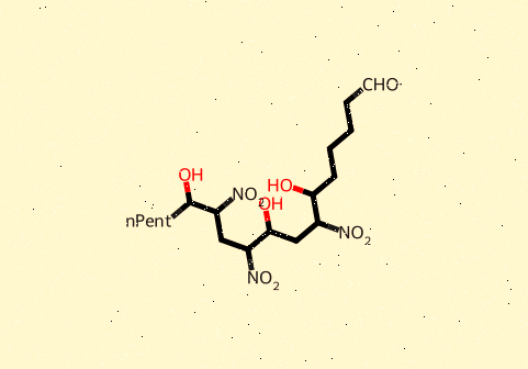 CCCCCC(O)C(CC(C(O)CC(C(O)CCCC[C]=O)[N+](=O)[O-])[N+](=O)[O-])[N+](=O)[O-]